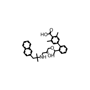 Cc1cc(-c2ccccc2C(C)OC[C@H](O)CNC(C)(C)Cc2ccc3ccccc3c2)cc(C)c1C(=O)O